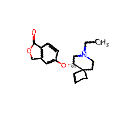 CCN1CCC2(CCC2)[C@H](Oc2ccc3c(c2)COC3=O)C1